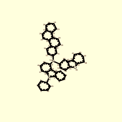 c1ccc(-n2c3ccccc3c3c(N(c4ccc5c(ccc6c7ccccc7ccc56)c4)c4ccc5oc6ccccc6c5c4)cccc32)cc1